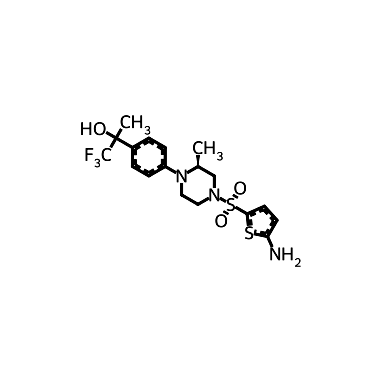 C[C@H]1CN(S(=O)(=O)c2ccc(N)s2)CCN1c1ccc(C(C)(O)C(F)(F)F)cc1